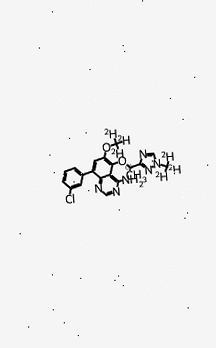 [2H]C([2H])([2H])Oc1cc(-c2cccc(Cl)c2)c2ncnc(N)c2c1O[C@@H](C)c1ncn(C([2H])([2H])[2H])n1